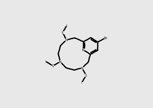 Brc1cc2nc(c1)CN(SI)CCN(SI)CCN(SI)C2